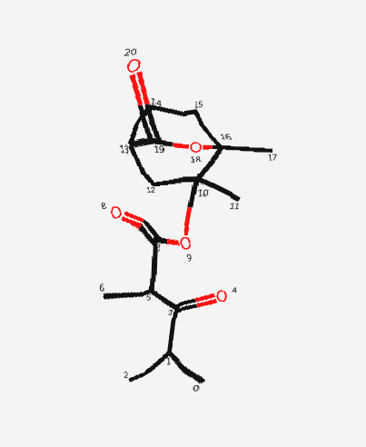 CC(C)C(=O)C(C)C(=O)OC1(C)CC2CCC1(C)OC2=O